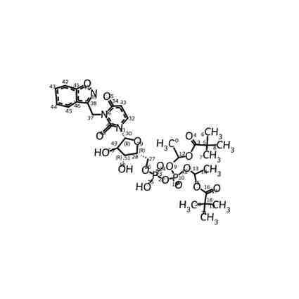 CC(OC(=O)C(C)(C)C)OP(=O)(OC(C)OC(=O)C(C)(C)C)OP(=O)(O)OC[C@H]1O[C@@H](n2ccc(=O)n(Cc3noc4ccccc34)c2=O)C(O)[C@H]1O